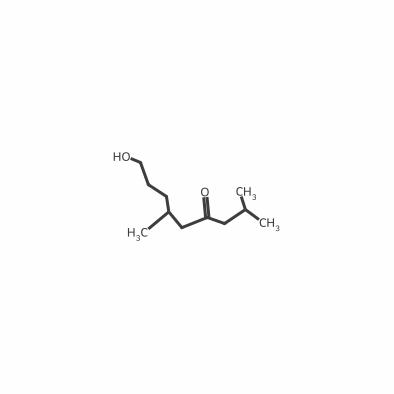 CC(C)CC(=O)CC(C)CCCO